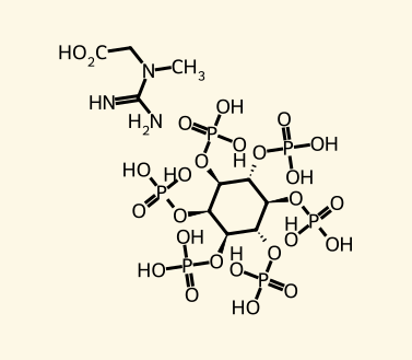 CN(CC(=O)O)C(=N)N.O=P(O)(O)O[C@H]1[C@H](OP(=O)(O)O)[C@@H](OP(=O)(O)O)[C@H](OP(=O)(O)O)[C@@H](OP(=O)(O)O)[C@H]1OP(=O)(O)O